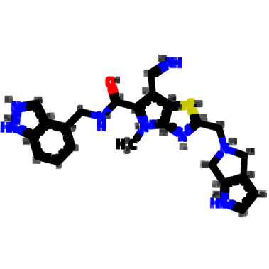 Cn1c(C(=O)NCc2cccc3[nH]ncc23)c(C=N)c2sc(CN3Cc4cc[nH]c4C3)nc21